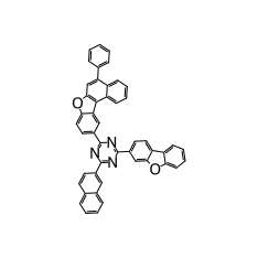 c1ccc(-c2cc3oc4ccc(-c5nc(-c6ccc7ccccc7c6)nc(-c6ccc7c(c6)oc6ccccc67)n5)cc4c3c3ccccc23)cc1